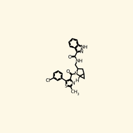 Cc1nc(C(=O)N2C(CNC(=O)c3n[nH]c4ccccc34)CC3C[C@@H]32)c(-c2cccc(Cl)c2)s1